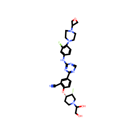 N#Cc1cc(-c2ncnc(Nc3ccc(N4CCN(C5COC5)CC4)c(F)c3)n2)ccc1O[C@H]1CCN(C(O)CO)C[C@H]1F